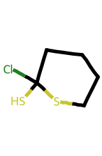 SC1(Cl)CCCCS1